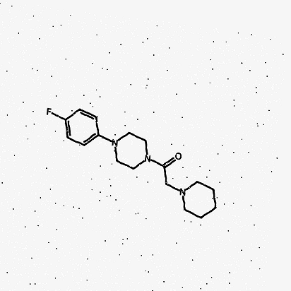 O=C(CN1CCCCC1)N1CCN(c2ccc(F)cc2)CC1